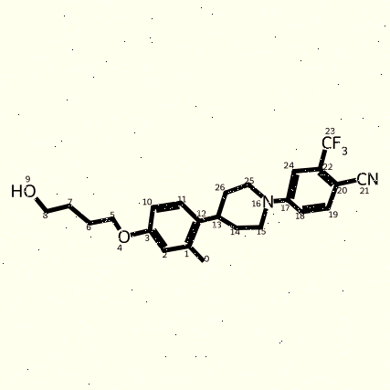 Cc1cc(OCCCCO)ccc1C1CCN(c2ccc(C#N)c(C(F)(F)F)c2)CC1